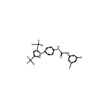 O=C(Nc1ccc(-n2nc(C(F)(F)F)cc2C(F)(F)F)cc1)Nc1cc(F)cc(F)c1